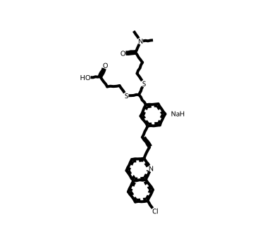 CN(C)C(=O)CCSC(SCCC(=O)O)c1cccc(/C=C/c2ccc3ccc(Cl)cc3n2)c1.[NaH]